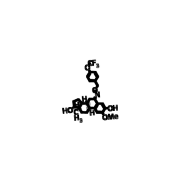 COc1cc2c(cc1O)C(=NOCc1ccc(OC(F)(F)F)cc1)C[C@@H]1[C@@H]2CC[C@]2(C)[C@H](O)CC[C@@H]12